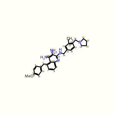 COc1ccc(Cc2cccc3nc(NCc4ccc(CN5CCCC5)c(C)c4)c(N)c(N)c23)cc1